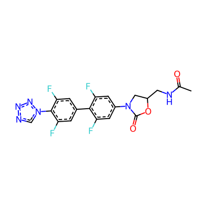 CC(=O)NCC1CN(c2cc(F)c(-c3cc(F)c(-n4cnnn4)c(F)c3)c(F)c2)C(=O)O1